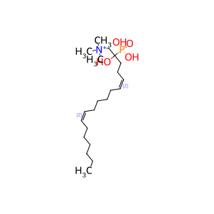 CCCCCC/C=C\CCCC/C=C\CCC(O)(C[N+](C)(C)C)P(=O)(O)O